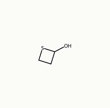 OC1CCS1